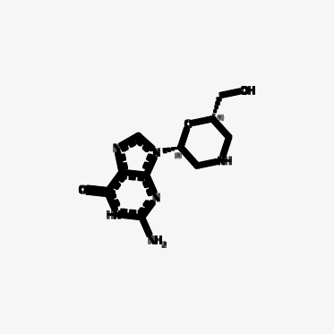 Nc1nc2c(ncn2[C@H]2CNC[C@@H](CO)O2)c(=O)[nH]1